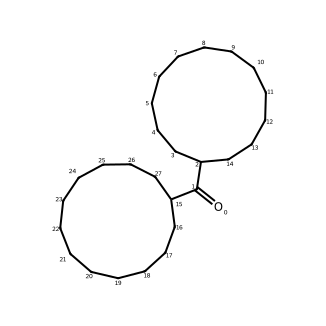 O=C(C1CCCCCCCCCCCC1)C1CCCCCCCCCCCC1